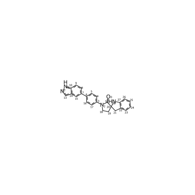 O=C1N(c2ccc(-c3ccc4[nH]ncc4c3)cc2)CCC12Cc1ccccc1N2